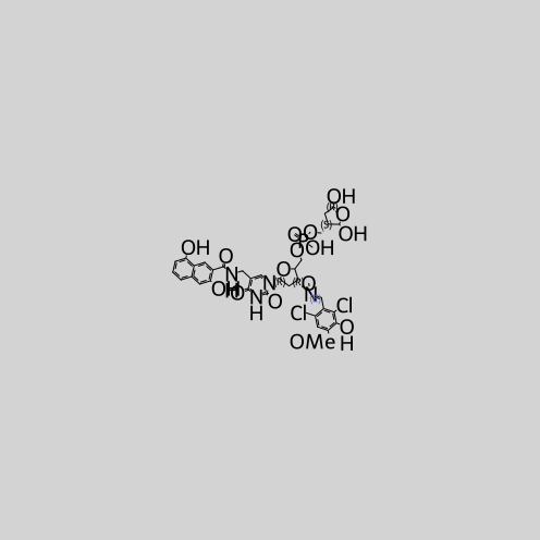 COc1cc(Cl)c(/C=N/O[C@@H]2C[C@H](n3cc(CNC(=O)c4cc5c(O)cccc5cc4O)c(=O)[nH]c3=O)OC2COP(=O)(O)OC[C@@H]2C[C@H](O)OC2O)c(Cl)c1O